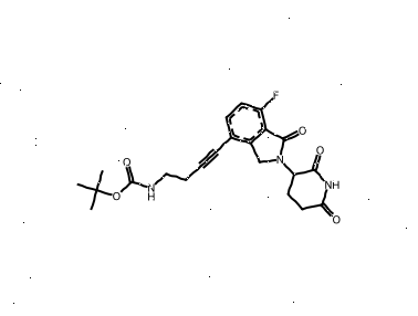 CC(C)(C)OC(=O)NCCC#Cc1ccc(F)c2c1CN(C1CCC(=O)NC1=O)C2=O